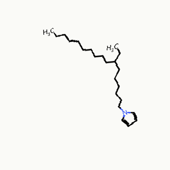 CCCCCCCCCCC(CC)CCCCCCn1cccc1